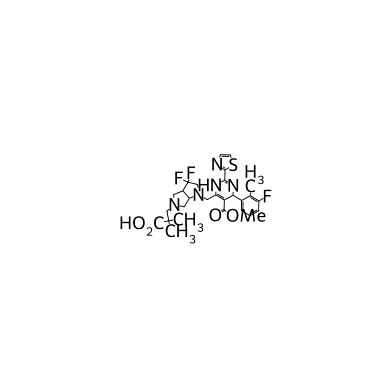 COC(=O)C1=C(CN2CC(F)(F)C3CN(CC(C)(C)C(=O)O)CC32)NC(c2nccs2)=NC1c1cccc(F)c1C